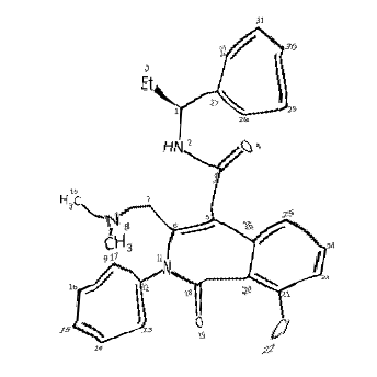 CC[C@H](NC(=O)c1c(CN(C)C)n(-c2ccccc2)c(=O)c2c(Cl)cccc12)c1ccccc1